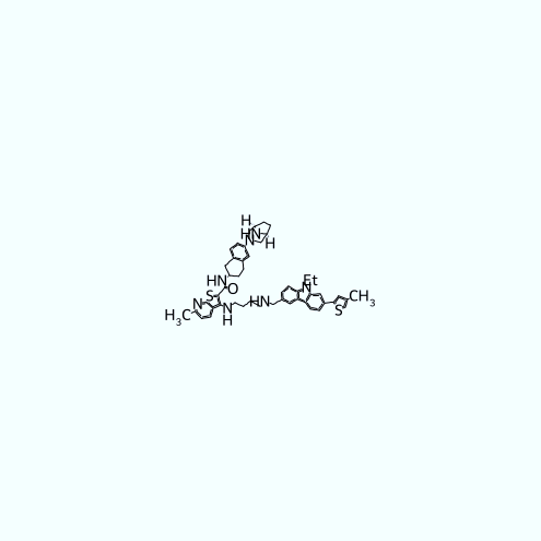 CCn1c2ccc(CNCCCCNc3c(C(=O)N[C@H]4CCc5cc(N6C[C@H]7CC[C@@H](C6)N7)ccc5C4)sc4nc(C)ccc34)cc2c2ccc(-c3cc(C)cs3)cc21